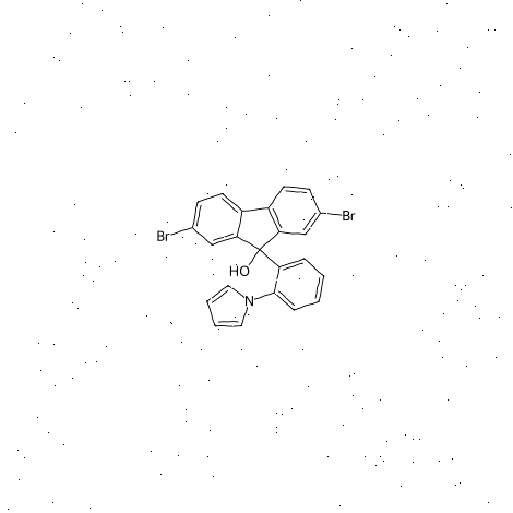 OC1(c2ccccc2-n2cccc2)c2cc(Br)ccc2-c2ccc(Br)cc21